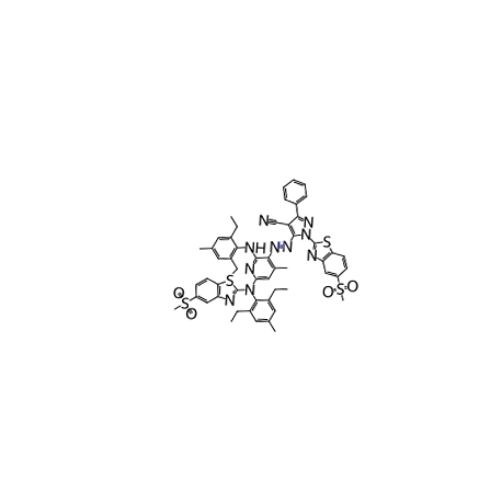 CCc1cc(C)cc(CC)c1Nc1nc(N(c2nc3cc(S(C)(=O)=O)ccc3s2)c2c(CC)cc(C)cc2CC)cc(C)c1/N=N/c1c(C#N)c(-c2ccccc2)nn1-c1nc2cc(S(C)(=O)=O)ccc2s1